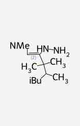 CCC(C)C(C)C(C)(C)/C(=C/NC)NN